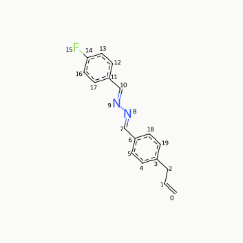 C=CCc1ccc(C=NN=Cc2ccc(F)cc2)cc1